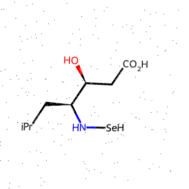 CC(C)C[C@H](N[SeH])[C@@H](O)CC(=O)O